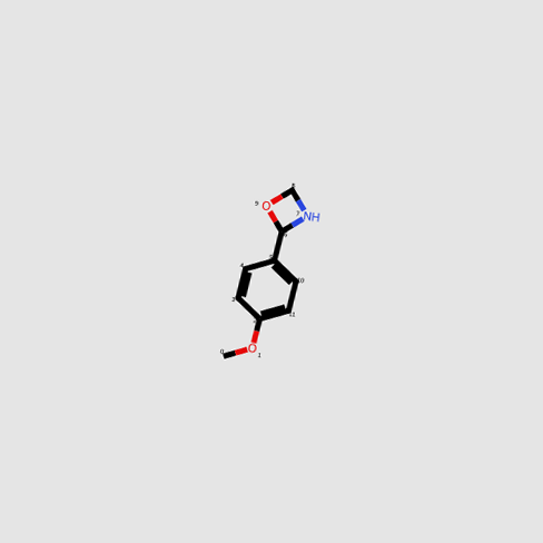 COc1ccc(C2NCO2)cc1